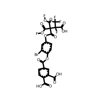 O=C(Oc1ccc(OC(=O)C(C(=O)OF)(C(=O)OF)C(F)(C(=O)O)C(F)(F)F)cc1Br)c1ccc(C(=O)O)c(C(=O)O)c1